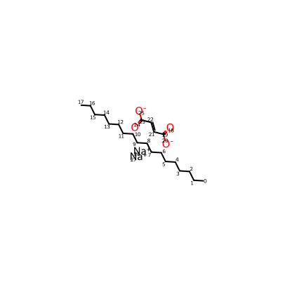 CCCCCCCCCCCCCCCCCC.O=C([O-])/C=C/C(=O)[O-].[Na+].[Na+]